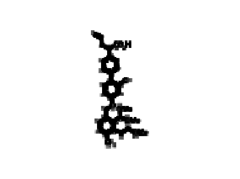 C=CCC(C(=O)O)c1ccc(-c2ccc(OCc3ccc(C(F)(F)F)c(OCOC)c3C(OC)OC)cc2Cl)cc1